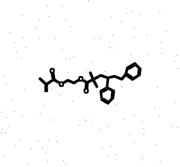 C=C(C)C(=O)OCCOC(=O)C(C)(C)CC(CCc1ccccc1)c1ccccc1